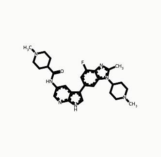 Cc1nc2c(F)cc(-c3c[nH]c4ncc(NC(=O)C5CCN(C)CC5)cc34)cc2n1C1CCN(C)CC1